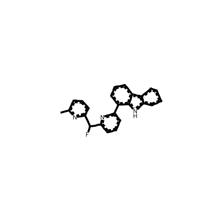 Cc1cccc(C(F)c2cccc(-c3cccc4c3[nH]c3ccccc34)n2)n1